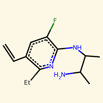 C=Cc1cc(F)c(NC(C)C(C)N)nc1CC